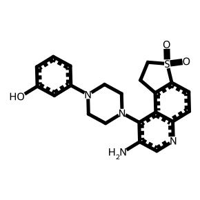 Nc1cnc2ccc3c(c2c1N1CCN(c2cccc(O)c2)CC1)CCS3(=O)=O